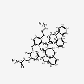 CC(OCc1ccc(CCCN)cc1)C(CCC(N)=O)NC(=O)[C@@H]1Cc2cccc3c2N1C(=O)[C@@H](NC(=O)OCC1c2ccccc2-c2ccccc21)CC3